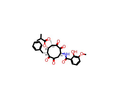 COc1cccc(C(=O)N[C@H]2CC(=O)C(=O)[C@H](Cc3ccccc3)[C@H](OC(=O)C(C)C)[C@H](C)C(=O)C2=O)c1O